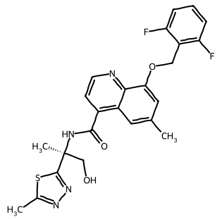 Cc1cc(OCc2c(F)cccc2F)c2nccc(C(=O)N[C@@](C)(CO)c3nnc(C)s3)c2c1